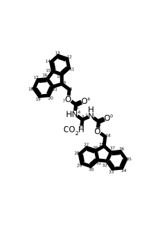 O=C(NC(NC(=O)OCC1c2ccccc2-c2ccccc21)C(=O)O)OCC1c2ccccc2-c2ccccc21